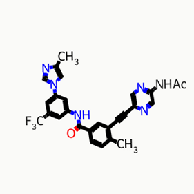 CC(=O)Nc1cnc(C#Cc2cc(C(=O)Nc3cc(-n4cnc(C)c4)cc(C(F)(F)F)c3)ccc2C)cn1